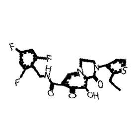 CCc1sccc1N1CCn2cc(C(=O)NCc3c(F)cc(F)cc3F)c(=O)c(O)c2C1=O